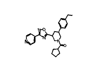 CCc1ccc(C2CC(c3nc(-c4ccncc4)no3)CN(C(=O)C3CCCC3)C2)cc1